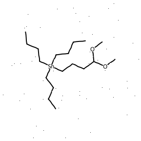 CCC[CH2][Sn]([CH2]CCC)([CH2]CCC)[CH2]CCC(OC)OC